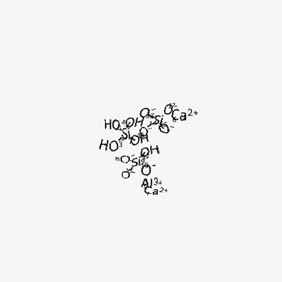 O[Si](O)(O)O.[Al+3].[Ca+2].[Ca+2].[O-][Si]([O-])([O-])O.[O-][Si]([O-])([O-])[O-]